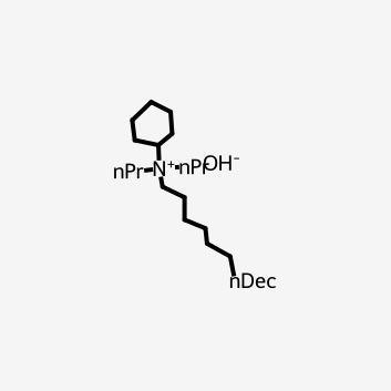 CCCCCCCCCCCCCCCC[N+](CCC)(CCC)C1CCCCC1.[OH-]